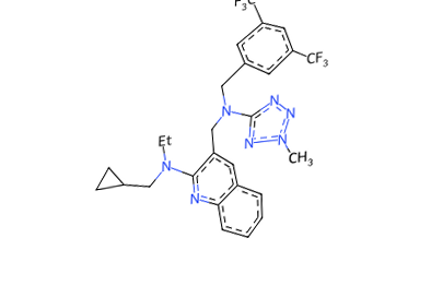 CCN(CC1CC1)c1nc2ccccc2cc1CN(Cc1cc(C(F)(F)F)cc(C(F)(F)F)c1)c1nnn(C)n1